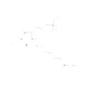 CCCCCC(C)(O)CCCN1C(=O)C(C)(C)C(=O)C1(C)CCCCCCC(=O)OC